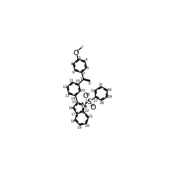 C=C(c1ccc(OC)cc1)c1cccc(-c2cc3ccccc3n2S(=O)(=O)c2ccccc2)c1